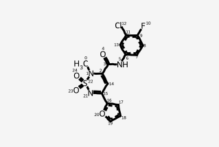 CN1C(C(=O)Nc2ccc(F)c(Cl)c2)=CC(c2ccco2)=NS1(=O)=O